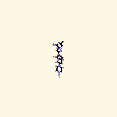 CCc1nc(C)cn2nc(C3=C\C(=O)N4C=C(N5CCN(C)CC5)C=C\C4=C/C=C/3)cc12